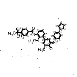 CCc1c(NC(=O)c2ccc(C(C)(C)C)cc2)cccc1-c1cn(C)c(=O)c(Nc2ccc(-n3ccnc3)cc2)n1